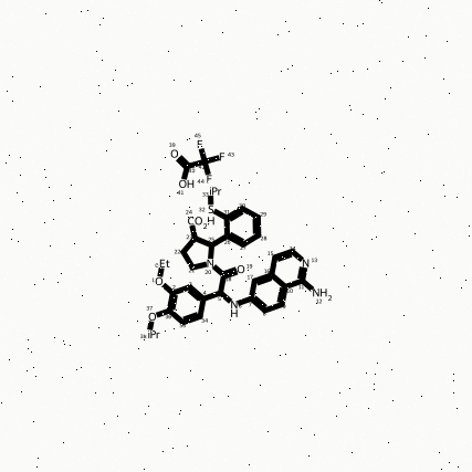 CCOc1cc(C(Nc2ccc3c(N)nccc3c2)C(=O)N2CCC(C(=O)O)C2c2ccccc2SC(C)C)ccc1OC(C)C.O=C(O)C(F)(F)F